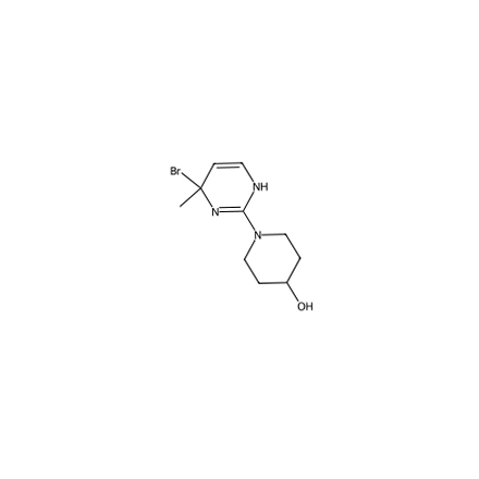 CC1(Br)C=CNC(N2CCC(O)CC2)=N1